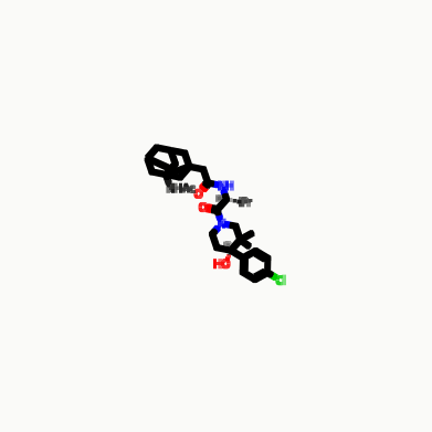 CC(=O)NC12CC3CC(CC(CC(=O)N[C@@H](C(=O)N4CC[C@](O)(c5ccc(Cl)cc5)C(C)(C)C4)C(C)C)(C3)C1)C2